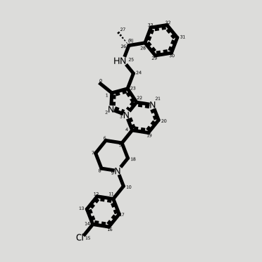 Cc1nn2c(C3CCCN(Cc4ccc(Cl)cc4)C3)ccnc2c1CN[C@H](C)c1ccccc1